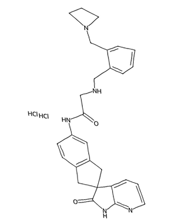 Cl.Cl.O=C(CNCc1ccccc1CN1CCC1)Nc1ccc2c(c1)CC1(C2)C(=O)Nc2ncccc21